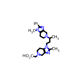 Cc1nc2c(n1CCC(C)N1CCc3c(nc(C(C)C)n3C)C1)CCN(CC(=O)O)C2